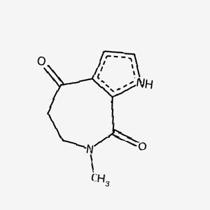 CN1CCC(=O)c2cc[nH]c2C1=O